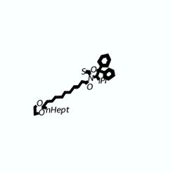 CCCCCCCC1(CCCCCCC=CCC(=O)N2C(=S)OC(c3ccccc3)(c3ccccc3)C2C(C)C)OCCO1